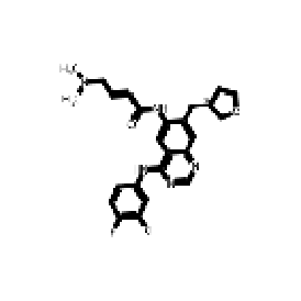 CN(C)CC=CC(=O)Nc1cc2c(Nc3ccc(F)c(Cl)c3)ncnc2cc1C[C@H]1CCOC1